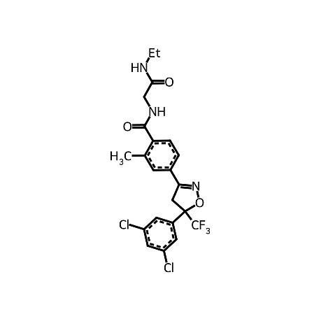 CCNC(=O)CNC(=O)c1ccc(C2=NOC(c3cc(Cl)cc(Cl)c3)(C(F)(F)F)C2)cc1C